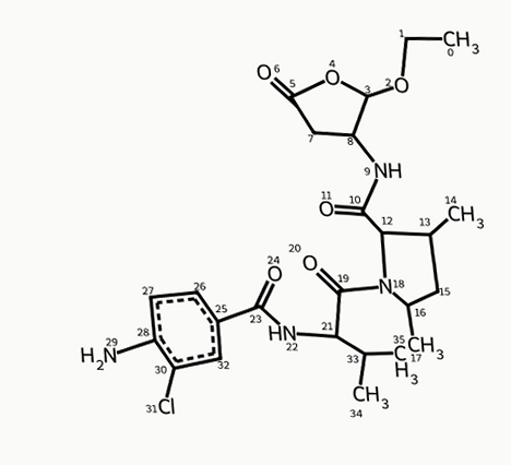 CCOC1OC(=O)CC1NC(=O)C1C(C)CC(C)N1C(=O)C(NC(=O)c1ccc(N)c(Cl)c1)C(C)C